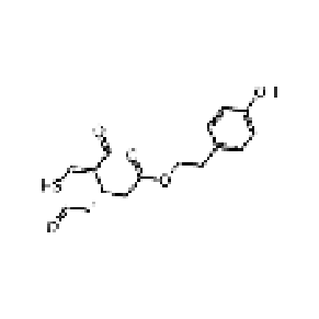 O=CC[C@@H](CC(=O)OCCc1ccc(O)cc1)/C(C=O)=C\S